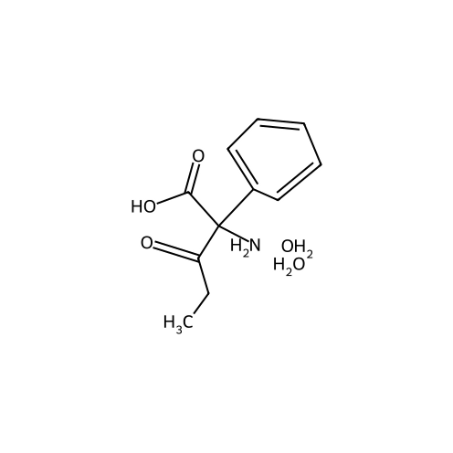 CCC(=O)C(N)(C(=O)O)c1ccccc1.O.O